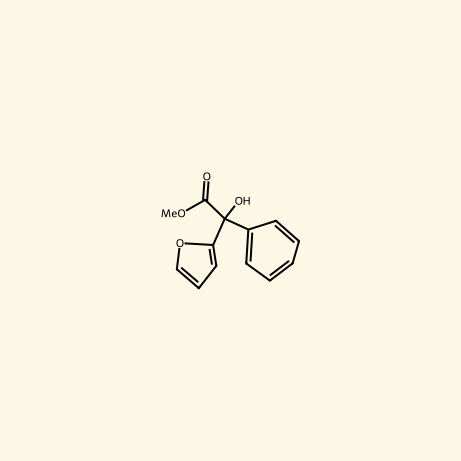 COC(=O)C(O)(c1ccccc1)c1ccco1